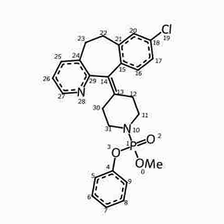 COP(=O)(Oc1ccccc1)N1CCC(=C2c3ccc(Cl)cc3CCc3cccnc32)CC1